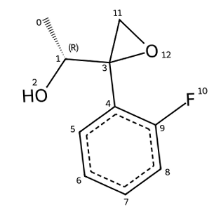 C[C@@H](O)C1(c2ccccc2F)CO1